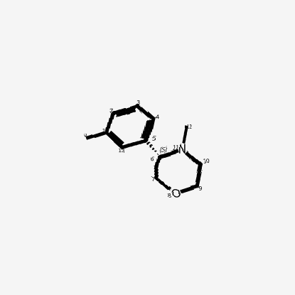 Cc1cccc([C@H]2COCCN2C)c1